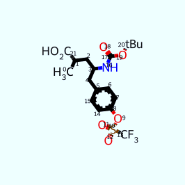 CC(CC(Cc1ccc(OS(=O)(=O)C(F)(F)F)cc1)NC(=O)OC(C)(C)C)C(=O)O